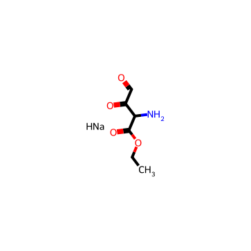 CCOC(=O)C(N)C(=O)C=O.[NaH]